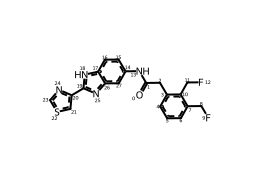 O=C(Cc1cccc(CF)c1CF)Nc1ccc2[nH]c(-c3cscn3)nc2c1